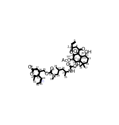 C=C[C@@]1(C)CC(=O)C2(O)[C@@]3(C)[C@@H](O)CCC(C)(C)[C@@H]3[C@H](OC(=O)NC(C)CC(C)CN(C)C(=O)OCc3cc(=O)oc(C)c3/C=C\C)[C@H](OC(C)=O)[C@@]2(C)O1